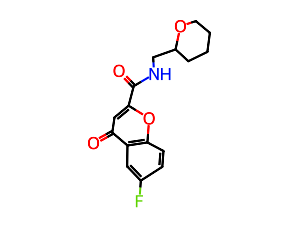 O=C(NCC1CCCCO1)c1cc(=O)c2cc(F)ccc2o1